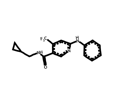 O=C(NCC1CC1)c1cnc(Nc2ccccc2)cc1C(F)(F)F